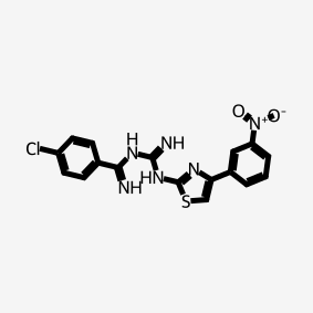 N=C(NC(=N)c1ccc(Cl)cc1)Nc1nc(-c2cccc([N+](=O)[O-])c2)cs1